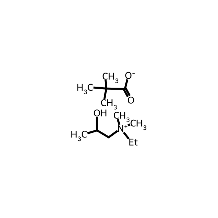 CC(C)(C)C(=O)[O-].CC[N+](C)(C)CC(C)O